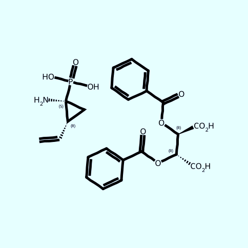 C=C[C@H]1C[C@]1(N)P(=O)(O)O.O=C(O[C@@H](C(=O)O)[C@@H](OC(=O)c1ccccc1)C(=O)O)c1ccccc1